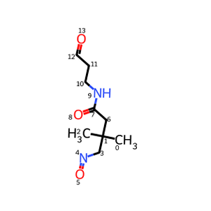 CC(C)(CN=O)CC(=O)NCCC=O